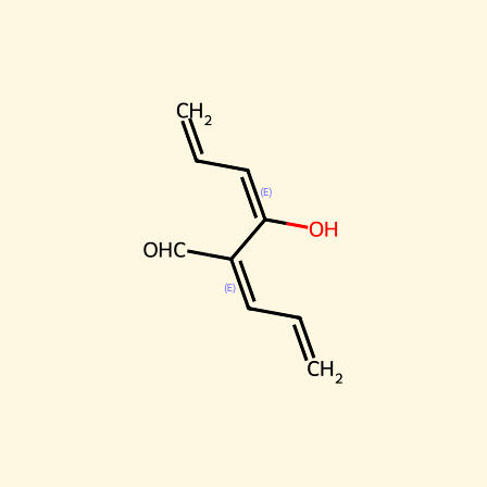 C=C/C=C(O)\C(C=O)=C/C=C